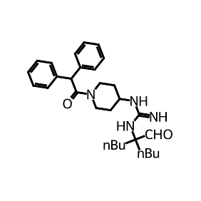 CCCCC(C=O)(CCCC)NC(=N)NC1CCN(C(=O)C(c2ccccc2)c2ccccc2)CC1